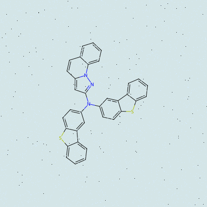 c1ccc2c(c1)ccc1cc(N(c3ccc4sc5ccccc5c4c3)c3ccc4sc5ccccc5c4c3)nn12